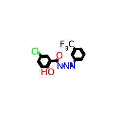 O=C(N=[N+]=Nc1cccc(C(F)(F)F)c1)c1cc(Cl)ccc1O